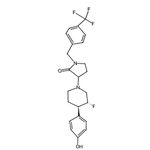 O=C1C(N2CC[C@H](c3ccc(O)cc3)[C@@H](F)C2)CCN1Cc1ccc(C(F)(F)F)cc1